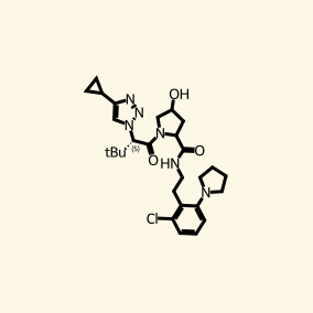 CC(C)(C)[C@@H](C(=O)N1CC(O)CC1C(=O)NCCc1c(Cl)cccc1N1CCCC1)n1cc(C2CC2)nn1